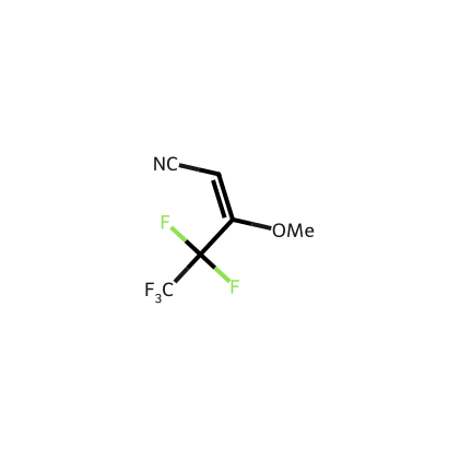 COC(=CC#N)C(F)(F)C(F)(F)F